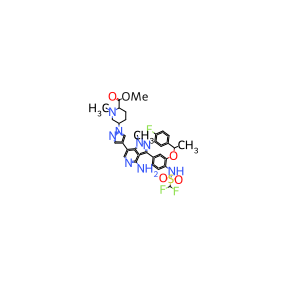 COC(=O)C1CCC(n2cc(-c3cnc(N)c4c(-c5ccc(NS(=O)(=O)C(F)F)c(OC(C)c6ccc(F)cc6)c5)nn(C)c34)cn2)CN1C